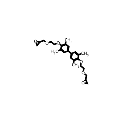 Cc1cc(-c2cc(C)c(OCCOCC3CO3)c(C)c2)cc(C)c1OCCOCC1CO1